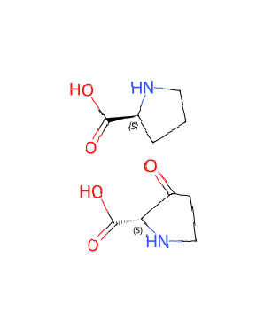 O=C(O)[C@@H]1CCCN1.O=C(O)[C@H]1NCCC1=O